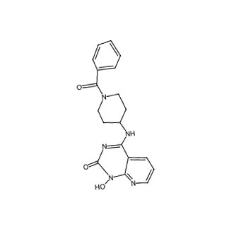 O=C(c1ccccc1)N1CCC(Nc2nc(=O)n(O)c3ncccc23)CC1